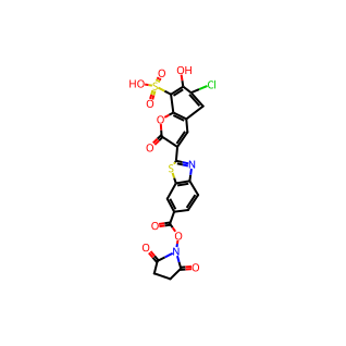 O=C(ON1C(=O)CCC1=O)c1ccc2nc(-c3cc4cc(Cl)c(O)c(S(=O)(=O)O)c4oc3=O)sc2c1